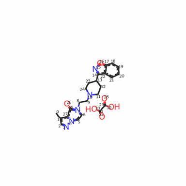 Cc1cnn2ccn(CCN3CCC(c4noc5ccccc45)CC3)c(=O)c12.O=C(O)C(=O)O